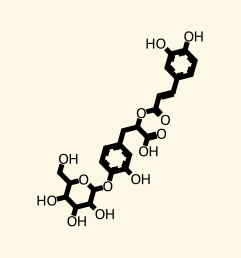 O=C(C=Cc1ccc(O)c(O)c1)OC(Cc1ccc(OC2OC(CO)C(O)C(O)C2O)c(O)c1)C(=O)O